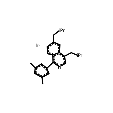 Cc1cc(C)cc(-c2ncc(CC(C)C)c3cc(CC(C)C)ccc23)c1.[Ir]